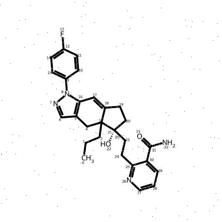 CCCC12Cc3cnn(-c4ccc(F)cc4)c3C=C1CC[C@@]2(O)CCc1ncccc1C(N)=O